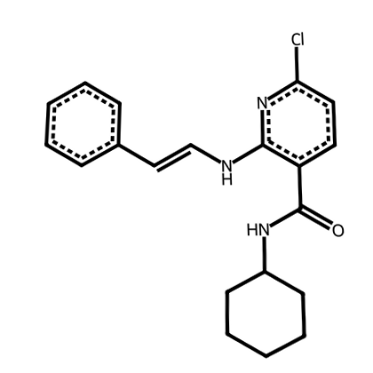 O=C(NC1CCCCC1)c1ccc(Cl)nc1NC=Cc1ccccc1